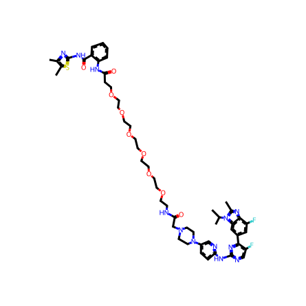 Cc1nc(NC(=O)c2ccccc2NC(=O)CCOCCOCCOCCOCCOCCOCCNC(=O)CN2CCN(c3ccc(Nc4ncc(F)c(-c5cc(F)c6nc(C)n(C(C)C)c6c5)n4)nc3)CC2)sc1C